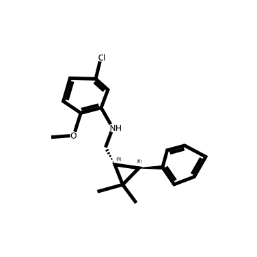 COc1ccc(Cl)cc1NC[C@@H]1[C@@H](c2ccccc2)C1(C)C